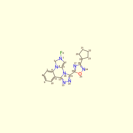 FN1C=C2N(C1)c1ccccc1-c1nnc(-c3nc(C4CCCC4)no3)n12